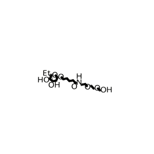 CC[C@H]1OC(OCCCCC(=O)NCCOCCOCO)CC(O)[C@H]1O